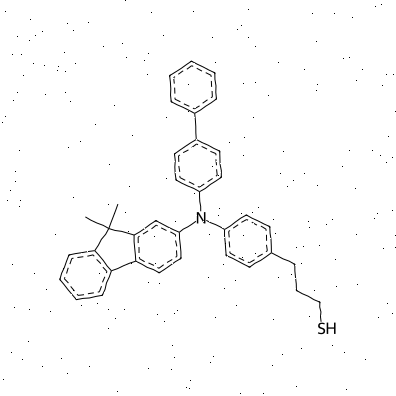 CC1(C)c2ccccc2-c2ccc(N(c3ccc(CCCS)cc3)c3ccc(-c4ccccc4)cc3)cc21